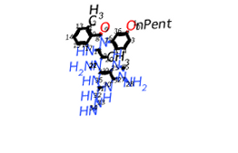 CCCCCOc1cccc(N2C(=O)c3c(C)cccc3NC2C(C)N(N)C2=C3NCN(N)C3NC(NN=N)N2)c1